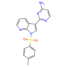 Cc1ccc(S(=O)(=O)n2cc(-c3nccc(N)n3)c3cccnc32)cc1